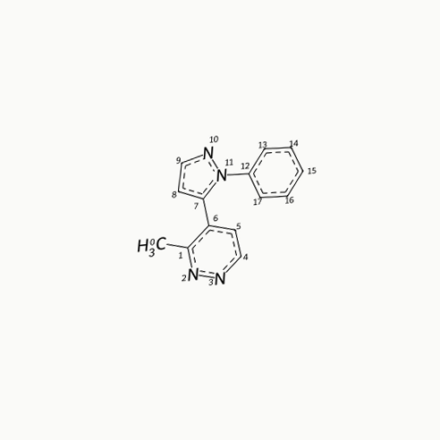 Cc1nnccc1-c1ccnn1-c1ccccc1